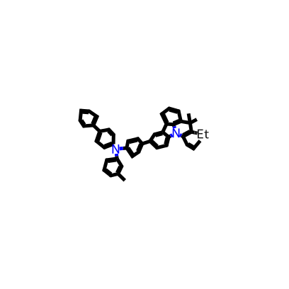 C/C=C\C1=C(CC)C(C)(C)c2cccc3c4cc(-c5ccc(N(c6ccc(-c7ccccc7)cc6)c6cccc(C)c6)cc5)ccc4n1c23